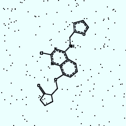 O=C1CCCC1COc1cccc2c(NCc3ccco3)nc(Cl)nc12